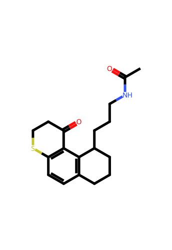 CC(=O)NCCCC1CCCc2ccc3c(c21)C(=O)CCS3